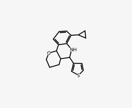 c1cc(C2CC2)c2c(c1)C1OCCCC1C(c1ccsc1)N2